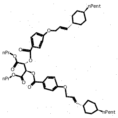 CCCCC[C@H]1CC[C@H](/C=C/COc2ccc(C(=O)O[C@@H](C(=O)OCCC)[C@@H](OC(=O)c3ccc(OC/C=C/[C@H]4CC[C@H](CCCCC)CC4)cc3)C(=O)OCCC)cc2)CC1